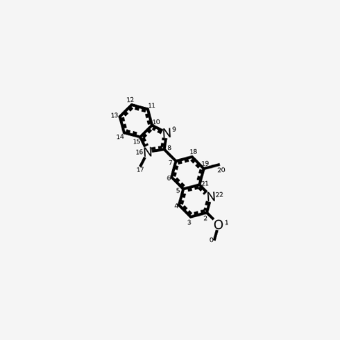 COc1ccc2cc(-c3nc4ccccc4n3C)cc(C)c2n1